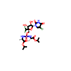 CC(C)OC(=O)[C@H](C)NP(=O)(N[C@@H](C)C(=O)OC(C)C)OC[C@@]1(C(F)F)O[C@@H](n2cc(Cl)c(=O)[nH]c2=O)[C@H](O)[C@H]1O